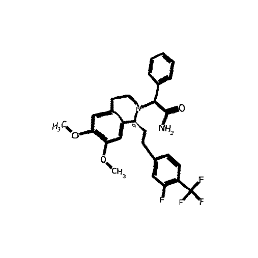 COc1cc2c(cc1OC)[C@H](CCc1ccc(C(F)(F)F)c(F)c1)N(C(C(N)=O)c1ccccc1)CC2